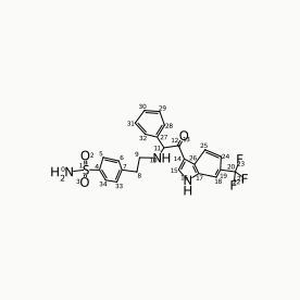 NS(=O)(=O)c1ccc(CCNC(C(=O)c2c[nH]c3cc(C(F)(F)F)ccc23)c2ccccc2)cc1